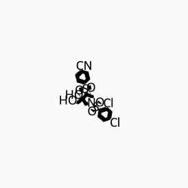 N#Cc1ccc(S(=O)(=O)[C@H]2CN(S(=O)(=O)c3ccc(Cl)cc3Cl)C[C@@]2(O)CO)cc1